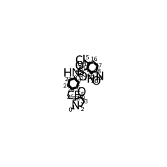 CN1CC[C@@H](Oc2cc(NS(=O)(=O)c3c(Cl)ccc4nonc34)ccc2C(F)(F)F)C1